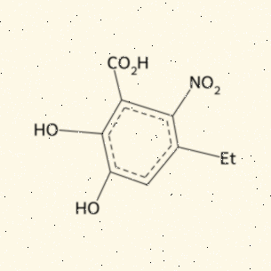 CCc1cc(O)c(O)c(C(=O)O)c1[N+](=O)[O-]